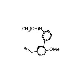 COc1ccc(CBr)cc1-c1cccc(N(C)O)c1